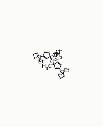 CC[Si]1(C2=C[C](C)([Zr+2][C]3(C)C=CC([Si]4(CC)CCC4)=C3)C=C2)CCC1.[Cl-].[Cl-]